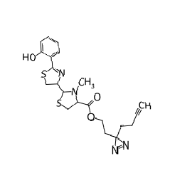 C#CCCC1(CCOC(=O)C2CSC(C3CSC(c4ccccc4O)=N3)N2C)N=N1